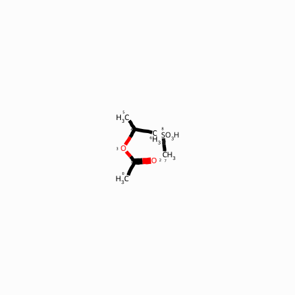 CC(=O)OC(C)C.CS(=O)(=O)O